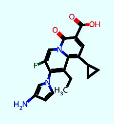 CCc1c(-n2ccc(N)c2)c(F)cn2c(=O)c(C(=O)O)cc(C3CC3)c12